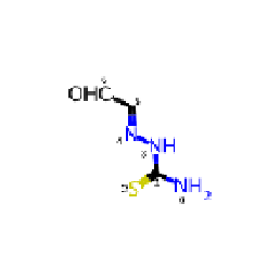 NC(=S)NN=CC=O